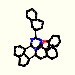 c1ccc(-c2nc(-c3ccc4ccccc4c3)nc(-c3cccc4cccc(-c5ccc6c(c5)oc5ccccc56)c34)n2)cc1